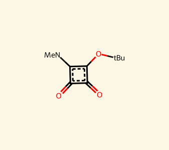 CNc1c(OC(C)(C)C)c(=O)c1=O